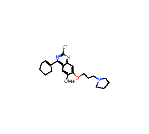 COc1cc2c(C3=CCCCC3)nc(Cl)nc2cc1OCCCN1CCCC1